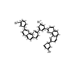 Brc1cccc(-c2ccc3ccc4ccc(-c5cc(Br)cc(-c6ccc7ccc8ccc(-c9cccc(Br)c9)nc8c7n6)c5)nc4c3n2)c1